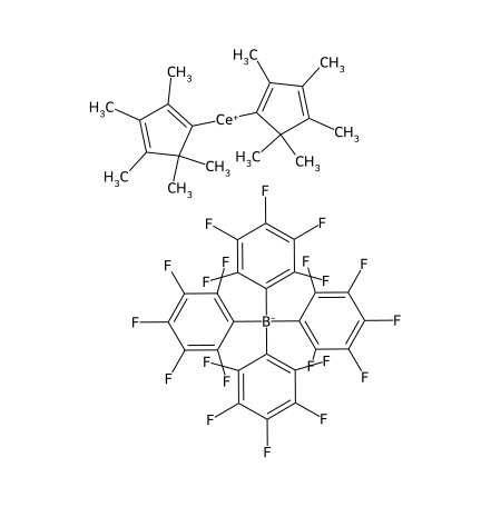 CC1=C(C)C(C)(C)[C]([Ce+][C]2=C(C)C(C)=C(C)C2(C)C)=C1C.Fc1c(F)c(F)c([B-](c2c(F)c(F)c(F)c(F)c2F)(c2c(F)c(F)c(F)c(F)c2F)c2c(F)c(F)c(F)c(F)c2F)c(F)c1F